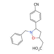 N#Cc1ccc(C2CC(CC(=O)O)ON2Cc2ccccc2)cc1